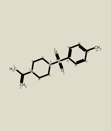 C=C(C)N1CCN(S(=O)(=O)c2ccc(C)cc2)CC1